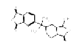 CC(C)(c1ccc2c(c1)C(=O)OC2=O)C1CCC2C(=O)OC(O)C2C1